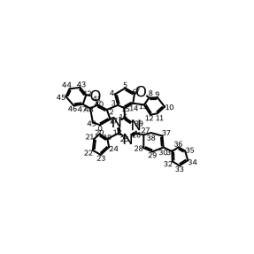 C1=CC(c2ccc3oc4ccccc4c3c2-c2nc(-c3ccccc3)nc(C3C=CC(c4ccccc4)=CC3)n2)=C2Oc3ccccc3C2C1